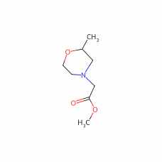 COC(=O)CN1CCOC(C)C1